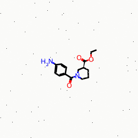 CCOC(=O)[C@H]1CCCN(C(=O)c2ccc(N)cc2)C1